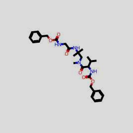 CC(C)C(NC(=O)OCc1ccccc1)C(=O)N(C)CC(C)(C)NC(=O)CNC(=O)OCc1ccccc1